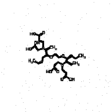 C=C(C(C/C=C\C)OCCOC(=C/CC)/C(=C\C)N(CCC(=O)O)CCC(=O)O)N(CCC(=O)O)CC(O)O